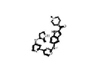 C=C1NCC[C@@H]1Oc1ccnc(-c2ccnc(Nc3ccc4[nH]c(C(=O)N5CCN(C)CC5)cc4c3)n2)c1